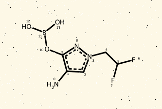 Nc1cn(CC(F)F)nc1OB(O)O